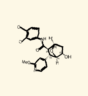 COc1cc([C@H]2[C@H]3O[C@H](C[C@@H]3O)[C@@H]2C(=O)Nc2ccc(Cl)c(Cl)c2)ccn1